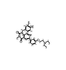 CCN(CC)CCOc1cccc(-c2nnc3c(n2)c(=O)n(C)c(=O)n3Cc2ccc(F)c(F)c2)c1